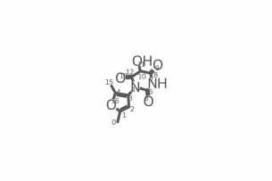 Cc1cc(N2C(=O)NC(=O)C(O)C2=O)c(C)o1